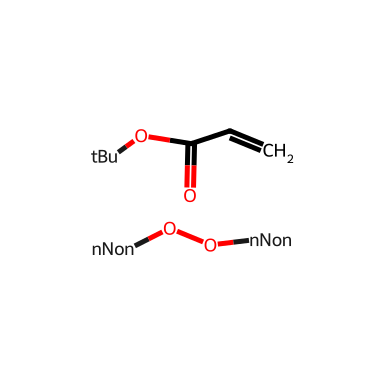 C=CC(=O)OC(C)(C)C.CCCCCCCCCOOCCCCCCCCC